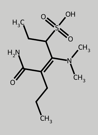 CCCC(C(N)=O)=C(C(CC)S(=O)(=O)O)N(C)C